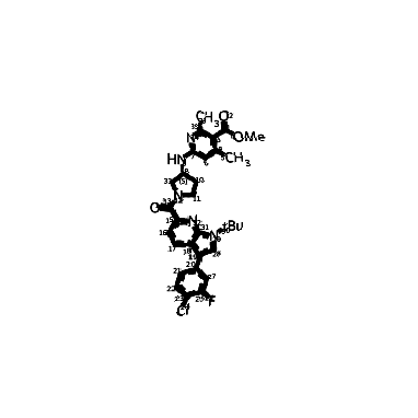 COC(=O)c1c(C)cc(N[C@H]2CCN(C(=O)c3ccc4c(-c5ccc(Cl)c(F)c5)cn(C(C)(C)C)c4n3)C2)nc1C